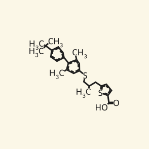 Cc1cc(SCC(C)Cc2ccc(C(=O)O)s2)cc(C)c1-c1ccc(C(C)(C)C)cc1